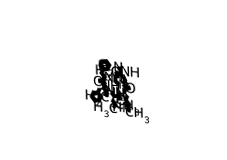 C=C(N[C@H](CC(C)C)C(=O)N[C@H](CCCNC)C(=O)N1CCCC(C)(C(=N)N)CC1)[C@@H](Cc1ccccc1)NC(=O)[C@H](N)Cc1ccccc1